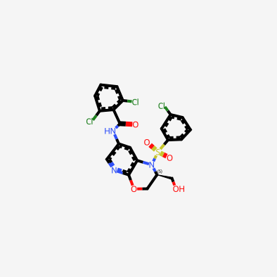 O=C(Nc1cnc2c(c1)N(S(=O)(=O)c1cccc(Cl)c1)[C@@H](CO)CO2)c1c(Cl)cccc1Cl